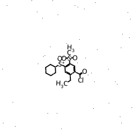 CCc1cc([S+]([O-])C2CCCCC2)c(S(C)(=O)=O)cc1C(=O)Cl